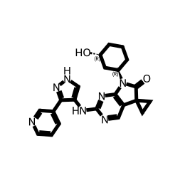 O=C1N([C@@H]2CCC[C@@H](O)C2)c2nc(Nc3c[nH]nc3-c3cccnc3)ncc2C12CC2